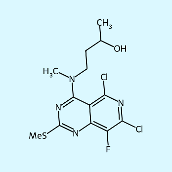 CSc1nc(N(C)CCC(C)O)c2c(Cl)nc(Cl)c(F)c2n1